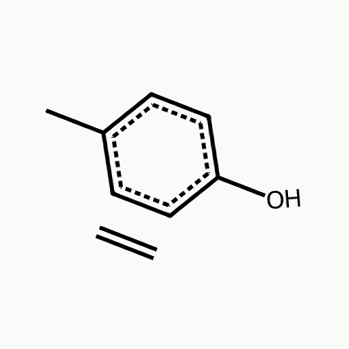 C=C.Cc1ccc(O)cc1